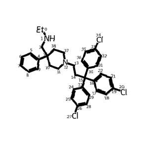 CCNCC1(c2ccccc2)CCN(CCC(c2ccc(Cl)cc2)(c2ccc(Cl)cc2)c2ccc(Cl)cc2)CC1